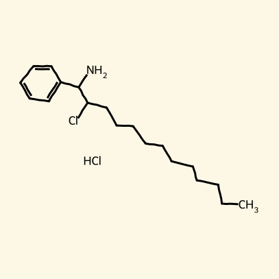 CCCCCCCCCCCC(Cl)C(N)c1ccccc1.Cl